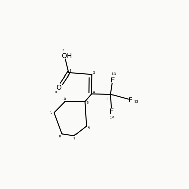 O=C(O)/C=C(\C1CCCCC1)C(F)(F)F